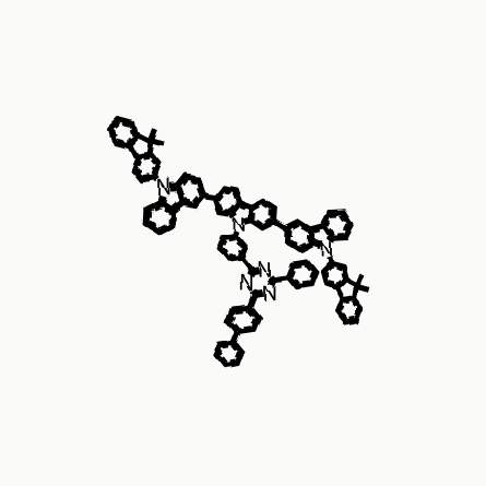 CC1(C)c2ccccc2-c2ccc(-n3c4ccccc4c4cc(-c5ccc6c7ccc(-c8ccc9c(c8)c8ccccc8n9-c8ccc9c(c8)C(C)(C)c8ccccc8-9)cc7n(-c7cccc(-c8nc(-c9ccccc9)nc(-c9ccc(-c%10ccccc%10)cc9)n8)c7)c6c5)ccc43)cc21